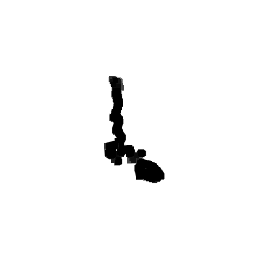 CN(/N=C/C1N(C)C=CN1CCCCCCBr)c1ccccc1